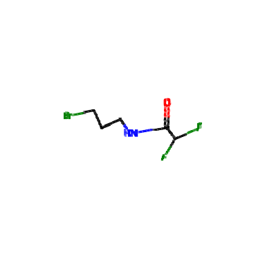 O=C(NCCCBr)C(F)F